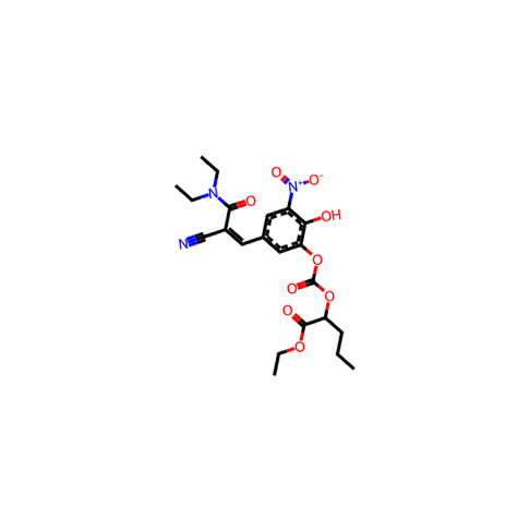 CCCC(OC(=O)Oc1cc(C=C(C#N)C(=O)N(CC)CC)cc([N+](=O)[O-])c1O)C(=O)OCC